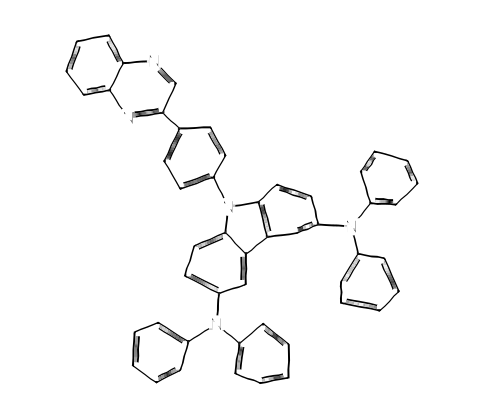 c1ccc(N(c2ccccc2)c2ccc3c(c2)c2cc(N(c4ccccc4)c4ccccc4)ccc2n3-c2ccc(-c3cnc4ccccc4n3)cc2)cc1